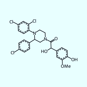 COc1cc(C(O)C(=O)N2CCN(c3ccc(Cl)cc3Cl)C(c3ccc(Cl)cc3)C2)ccc1O